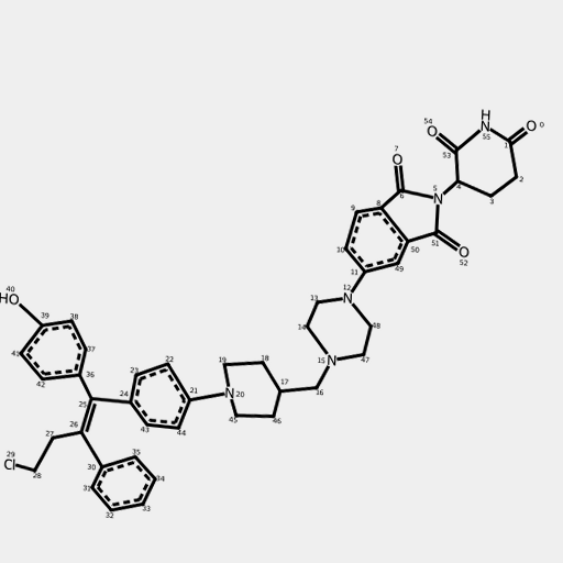 O=C1CCC(N2C(=O)c3ccc(N4CCN(CC5CCN(c6ccc(C(=C(CCCl)c7ccccc7)c7ccc(O)cc7)cc6)CC5)CC4)cc3C2=O)C(=O)N1